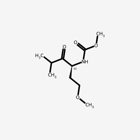 COCC[C@H](NC(=O)OC)C(=O)C(C)C